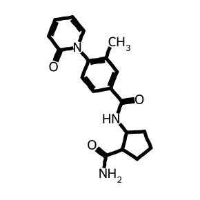 Cc1cc(C(=O)NC2CCCC2C(N)=O)ccc1-n1ccccc1=O